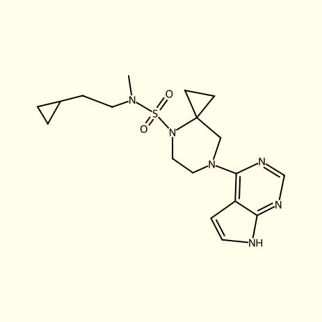 CN(CCC1CC1)S(=O)(=O)N1CCN(c2ncnc3[nH]ccc23)CC12CC2